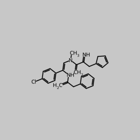 C=C(Cc1ccccc1)N/C(=C\N(C)C(=C)C(=N)CC1=CC=CC1)c1ccc(Cl)cc1